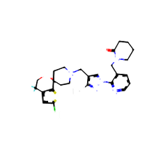 Cc1nn(-c2ncccc2CN2CCCCC2=O)cc1CN1CCC2(CC1)OCC(F)(F)c1cc(Cl)sc12